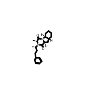 C[C@H](CCc1ccccc1)N1C(=O)[C@@H]2C[C@H]3CCCC[C@@H]3N2C(=O)[C@@H]1C